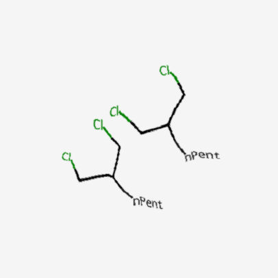 CCCCCC(CCl)CCl.CCCCCC(CCl)CCl